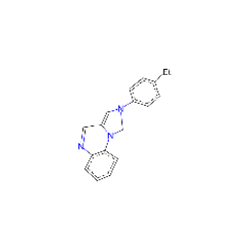 CCc1ccc(N2C=C3C=Nc4ccccc4N3C2)cc1